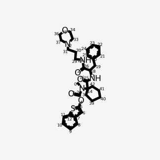 CN(C(=O)Oc1cc2ccccc2s1)C1(C(=O)NC(Cc2ccccc2)C(=O)NCCCN2CCOCC2)CCCCC1